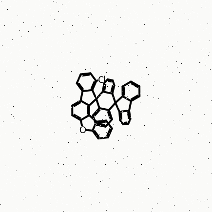 Clc1cccc2c1C1(c3ccccc3C3(c4ccccc4-c4ccccc43)c3ccccc31)c1c-2ccc2oc3ccccc3c12